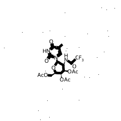 CC(=O)OC[C@H]1O[C@@H](n2cc(C)c(=O)[nH]c2=O)[C@H](NC(=O)C(F)(F)F)[C@@H](OC(C)=O)[C@@H]1OC(C)=O